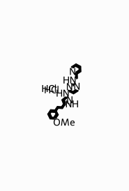 COc1cccc(CCc2cc(Nc3ccnc(NCc4ccccn4)n3)n[nH]2)c1.Cl.Cl